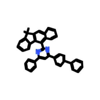 CC1(C)c2ccccc2-c2c1cc1ccccc1c2-c1nc(-c2ccccc2)cc(-c2ccc(-c3ccccc3)cc2)n1